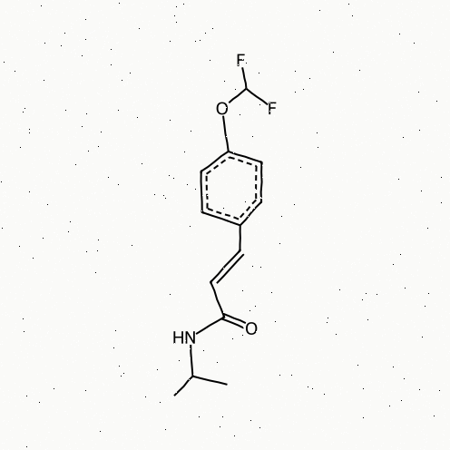 CC(C)NC(=O)C=Cc1ccc(OC(F)F)cc1